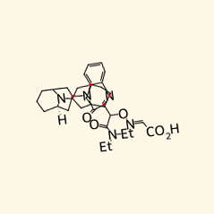 CCN(CC)C(=O)C(O/N=C/C(=O)O)c1nc2ccccc2n(C2CC3CCC[C@H](C2)N3C2CC3CCCC(C3)C2)c1=O